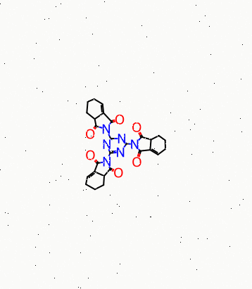 O=C1C2=CCCCC2C(=O)N1c1nc(N2C(=O)C3=CCCCC3C2=O)nc(N2C(=O)C3=CCCCC3C2=O)n1